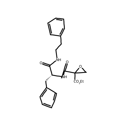 CCOC(=O)C1(C(=O)N[C@H](Cc2ccccc2)C(=O)NCCc2ccccc2)CO1